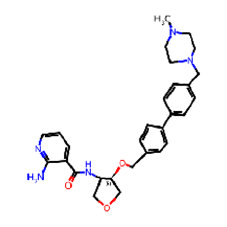 CN1CCN(Cc2ccc(-c3ccc(CO[C@H]4COCC4NC(=O)c4cccnc4N)cc3)cc2)CC1